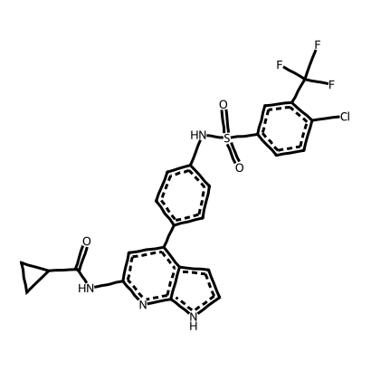 O=C(Nc1cc(-c2ccc(NS(=O)(=O)c3ccc(Cl)c(C(F)(F)F)c3)cc2)c2cc[nH]c2n1)C1CC1